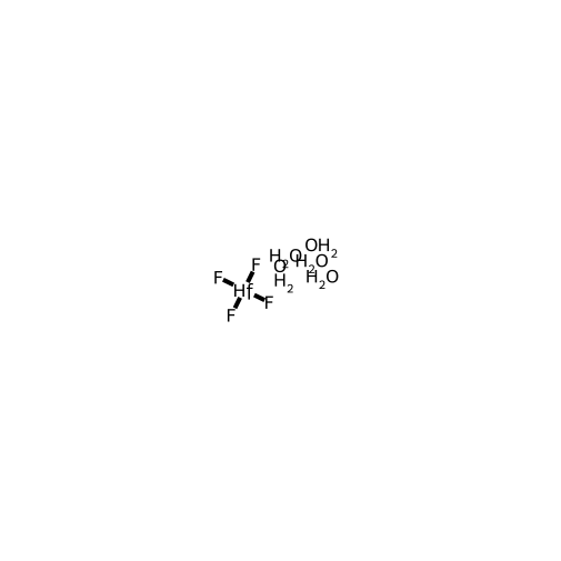 O.O.O.O.O.[F][Hf]([F])([F])[F]